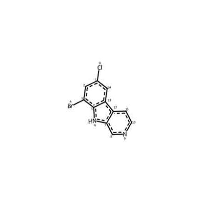 Clc1cc(Br)c2[nH]c3cnccc3c2c1